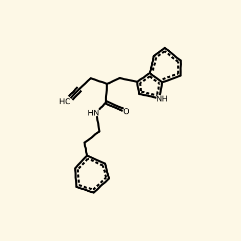 C#CC[C](Cc1c[nH]c2ccccc12)C(=O)NCCc1ccccc1